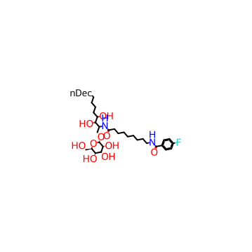 CCCCCCCCCCCCCCC(O)C(O)C(CO[C@H]1O[C@H](CO)[C@H](O)[C@H](O)[C@H]1O)NC(=O)CCCCCCCCNC(=O)c1ccc(F)cc1